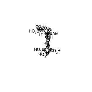 COc1c(C[C@@H](NC(=O)c2ccc(CNC(=O)CN3CCN(CC(=O)O)CCN(CC(=O)O)CCN(CC(=O)O)CC3)cn2)C(=O)NCCCC[C@H](NC(=O)N[C@@H](CCC(=O)O)C(=O)O)C(=O)O)ccc2ccccc12